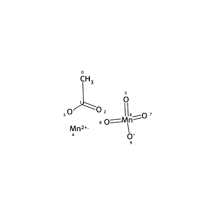 CC(=O)[O-].[Mn+2].[O]=[Mn](=[O])(=[O])[O-]